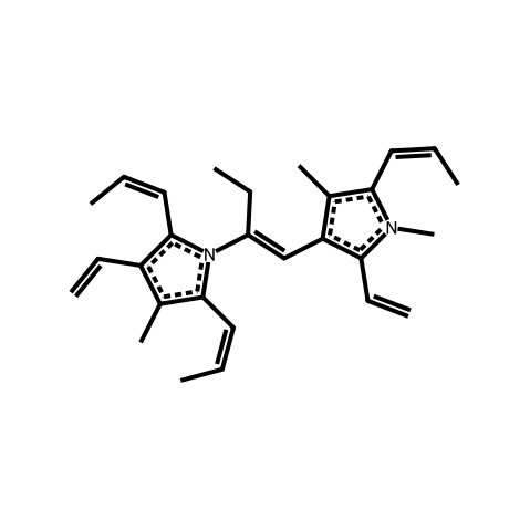 C=Cc1c(C)c(/C=C\C)n(/C(=C/c2c(C)c(/C=C\C)n(C)c2C=C)CC)c1/C=C\C